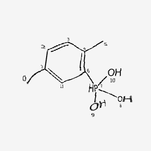 Cc1ccc(C)c([PH](O)(O)O)c1